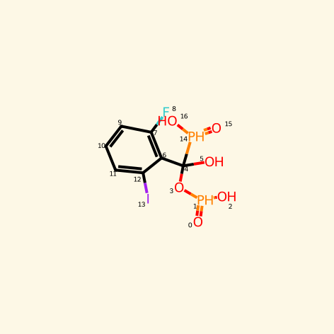 O=[PH](O)OC(O)(c1c(F)cccc1I)[PH](=O)O